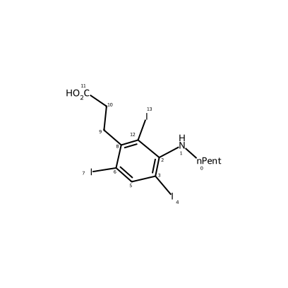 CCCCCNc1c(I)cc(I)c(CCC(=O)O)c1I